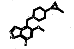 COc1cc(C)c2[nH]ccc2c1CN1CCC(C2CC2C)CC1